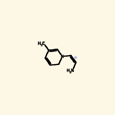 CC1=CN(/C=C\N)CC=C1